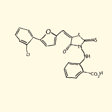 O=C(O)c1ccccc1NN1C(=O)/C(=C\c2ccc(-c3ccccc3Cl)o2)SC1=S